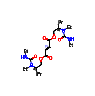 CCNC(=O)N(CC)[C@@H](COC(=O)/C=C/C(=O)OC[C@@H](C(C)C)N(CC)C(=O)NCC)C(C)C